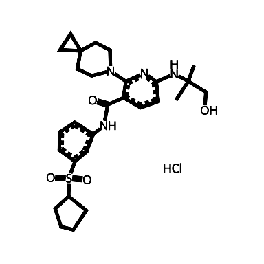 CC(C)(CO)Nc1ccc(C(=O)Nc2cccc(S(=O)(=O)C3CCCC3)c2)c(N2CCC3(CC2)CC3)n1.Cl